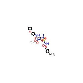 CC(C)(C)OC(=O)N1CC(NS(=O)(=O)CCNC(=O)OCc2ccc([N+](=O)[O-])cc2)C[C@H]1C(=O)Nc1ccc(Oc2ccccc2)cc1